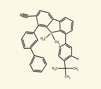 CC(C)(C)c1cnc(-c2cccc3c2S(C)(C)c2c-3ccc(C#N)c2-c2cccc(-c3ccccc3)c2)cc1F